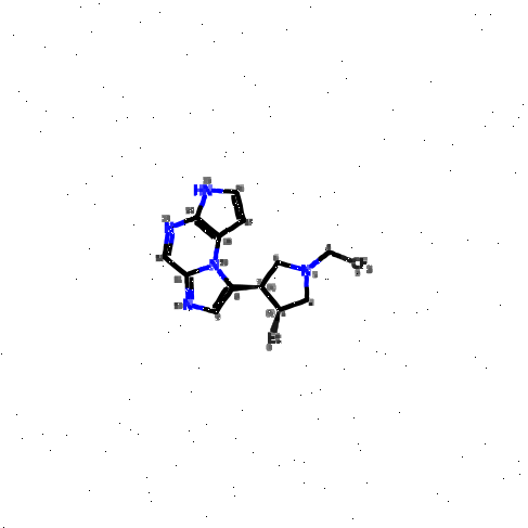 CC[C@@H]1CN(CC(F)(F)F)C[C@@H]1c1cnc2cnc3[nH]ccc3n12